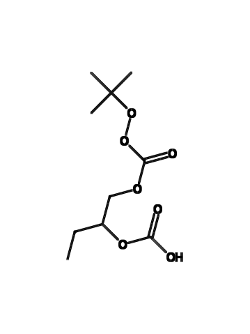 CCC(COC(=O)OOC(C)(C)C)OC(=O)O